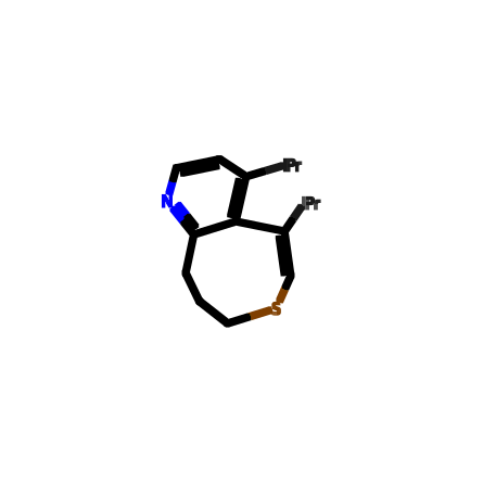 CC(C)/C1=C/SCCCc2nccc(C(C)C)c21